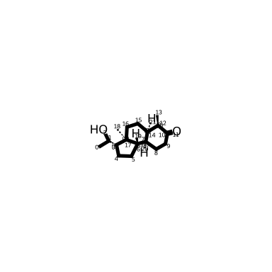 CC(O)[C@H]1CC[C@H]2[C@@H]3CCC(=O)[C@H](C)[C@@H]3CC[C@]12C